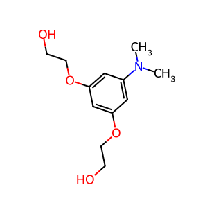 CN(C)c1cc(OCCO)cc(OCCO)c1